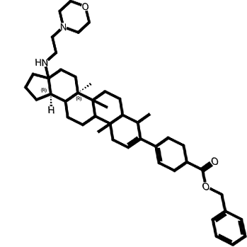 CC1C(C2=CCC(C(=O)OCc3ccccc3)CC2)=CCC2(C)C1CCC1(C)C2CCC2[C@H]3CCCC3(NCCN3CCOCC3)CC[C@]21C